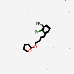 N#Cc1cccc(C=CCCOC2CCCCO2)c1Br